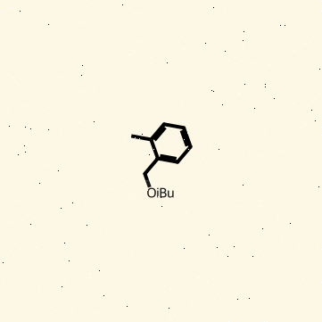 Cc1ccccc1COCC(C)C